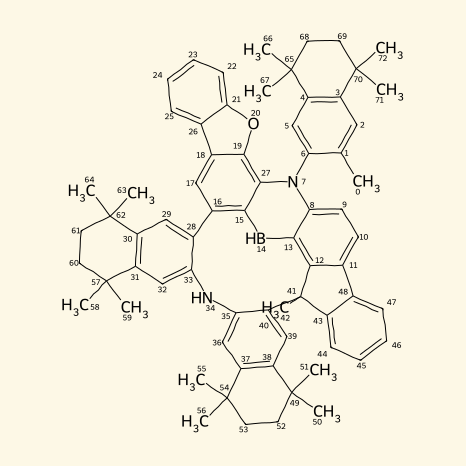 Cc1cc2c(cc1N1c3ccc4c5c3Bc3c(cc6c(oc7ccccc76)c31)-c1cc3c(cc1Nc1cc6c(cc1C5(C)c1ccccc1-4)C(C)(C)CCC6(C)C)C(C)(C)CCC3(C)C)C(C)(C)CCC2(C)C